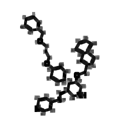 c1ccc(COCCCOc2ccc([C@H]3[C@H](CSc4ccncc4)CNC[C@@H]3OCc3ccc4ccccc4c3)cc2)cc1